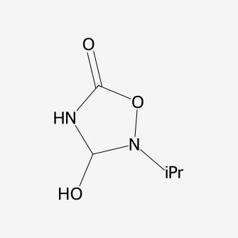 CC(C)N1OC(=O)NC1O